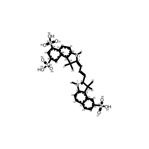 CN1/C(=C/C=C/C2=[N+](C)c3ccc4ccc(S(=O)(=O)O)cc4c3C2(C)C)C(C)(C)c2c1ccc1c(S(=O)(=O)O)cc(S(=O)(=O)O)cc21